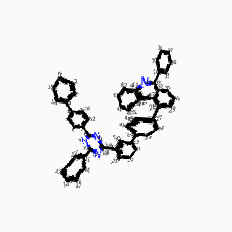 c1ccc(-c2ccc(-c3nc(-c4ccccc4)nc(-c4cccc(-c5ccc(-c6cccc7c(-c8ccccc8)nc8ccccc8c67)cc5)c4)n3)cc2)cc1